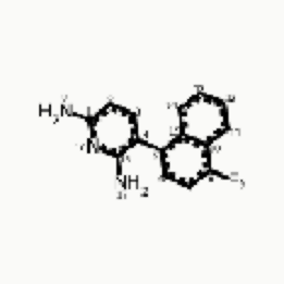 Nc1ccc(-c2ccc(F)c3ccccc23)c(N)n1